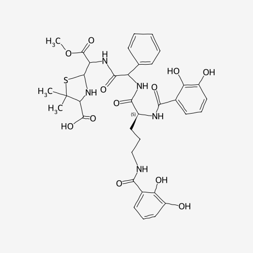 COC(=O)C(NC(=O)C(NC(=O)[C@H](CCCNC(=O)c1cccc(O)c1O)NC(=O)c1cccc(O)c1O)c1ccccc1)C1NC(C(=O)O)C(C)(C)S1